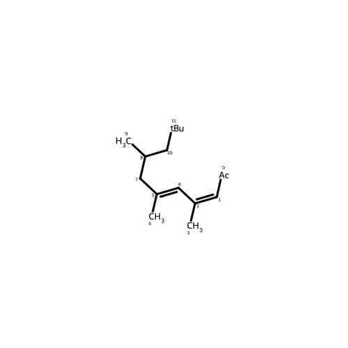 CC(=O)/C=C(C)\C=C(/C)CC(C)CC(C)(C)C